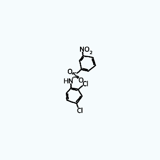 O=[N+]([O-])c1cccc(S(=O)(=O)Nc2ccc(Cl)cc2Cl)c1